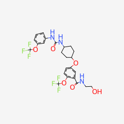 O=C(Nc1cccc(OC(F)(F)F)c1)NC1CCC(Oc2ccc(OC(F)(F)F)c(C(=O)NCCO)c2)CC1